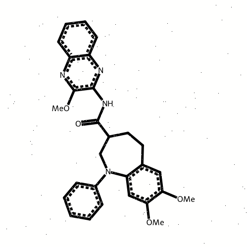 COc1cc2c(cc1OC)N(c1ccccc1)CC(C(=O)Nc1nc3ccccc3nc1OC)CC2